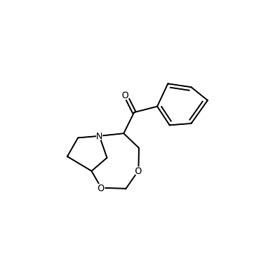 O=C(c1ccccc1)C1COCOC2CCN1C2